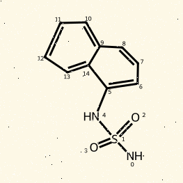 [NH]S(=O)(=O)Nc1cccc2ccccc12